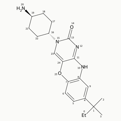 CCC(C)(C)c1ccc2c(c1)Nc1nc(=O)n([C@H]3CC[C@H](N)CC3)cc1O2